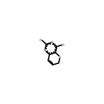 Clc1nc(Cl)c2c(n1)C=CCS2